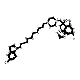 OC(CN1CCN(CCCCCCCCCCn2ccc3cc(Cl)ccc32)CC1)(Cn1cncn1)c1ccc(F)cc1F